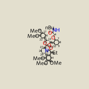 CCCCNC(=O)COc1ccccc1[C@@H](CCc1ccc(OC)c(OC)c1)OC(=O)[C@@H]1CCCCN1C(=O)[C@@H](CC)c1cc(OC)c(OC)c(OC)c1